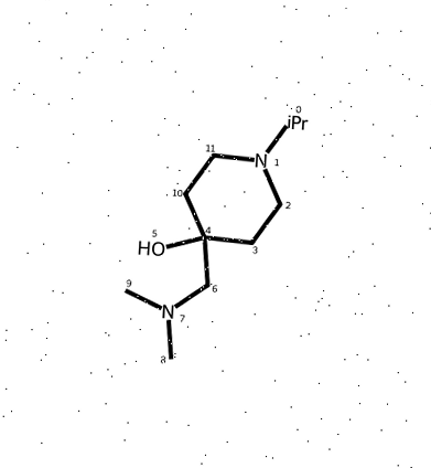 CC(C)N1CCC(O)(CN(C)C)CC1